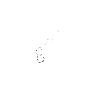 NCCNCCNc1n[n+]([O-])c2ccccc2[n+]1[O-]